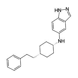 c1ccc(CC[C@H]2CC[C@@H](Nc3ccc4[nH]ncc4c3)CC2)cc1